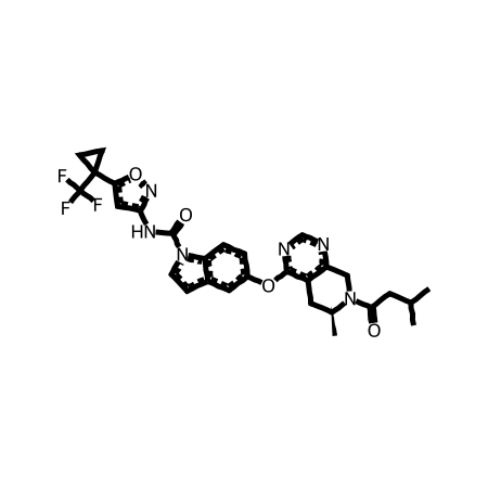 CC(C)CC(=O)N1Cc2ncnc(Oc3ccc4c(ccn4C(=O)Nc4cc(C5(C(F)(F)F)CC5)on4)c3)c2C[C@@H]1C